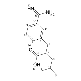 CC(C)CC(Cc1cccc(C(=N)N)c1)C(=O)O